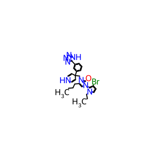 CCCCc1cn(-c2c(Br)ccn2CCC)c(=O)n1CC1(c2cccc(-c3nnn[nH]3)c2)C=CNC=C1